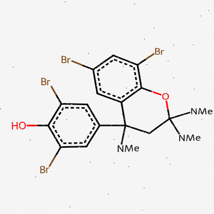 CNC1(NC)CC(NC)(c2cc(Br)c(O)c(Br)c2)c2cc(Br)cc(Br)c2O1